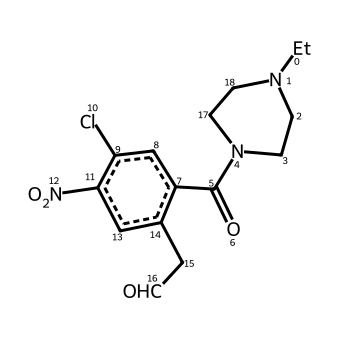 CCN1CCN(C(=O)c2cc(Cl)c([N+](=O)[O-])cc2CC=O)CC1